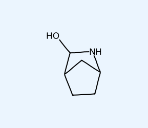 OC1NC2CCC1C2